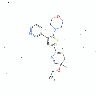 CC1(OCC(F)(F)F)C=NC(c2cc(-c3cccnc3)c(N3CCOCC3)s2)=CC1